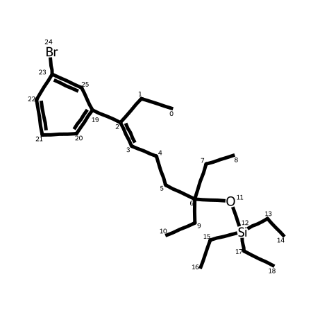 CC/C(=C\CCC(CC)(CC)O[Si](CC)(CC)CC)c1cccc(Br)c1